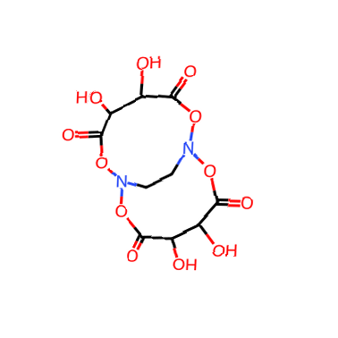 O=C1ON2CCN(OC(=O)C(O)C1O)OC(=O)C(O)C(O)C(=O)O2